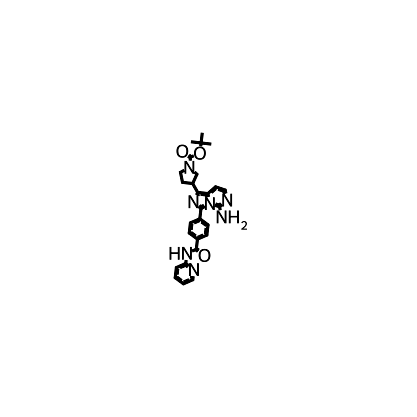 CC(C)(C)OC(=O)N1CCC(c2nc(-c3ccc(C(=O)Nc4ccccn4)cc3)n3c(N)nccc23)C1